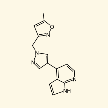 Cc1cc(Cn2cc(-c3ccnc4[nH]ccc34)cn2)no1